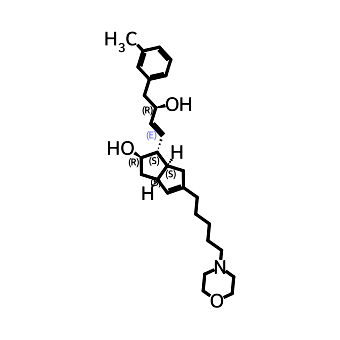 Cc1cccc(C[C@@H](O)/C=C/[C@@H]2[C@H]3CC(CCCCCN4CCOCC4)=C[C@H]3C[C@H]2O)c1